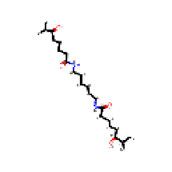 CC(C)C(=O)CCCCC(=O)NCCCCCCNC(=O)CCCCC(=O)C(C)C